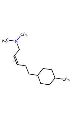 CC1CCC(CC/C=C\CN(C)C)CC1